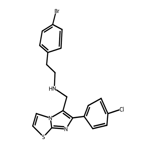 Clc1ccc(-c2nc3sccn3c2CNCCc2ccc(Br)cc2)cc1